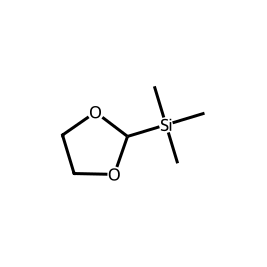 C[Si](C)(C)C1OCCO1